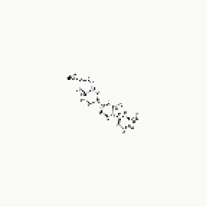 CCCCC1CCC2CC(c3ccc(-c4cccc(F)c4)c(F)c3)CCC2C1